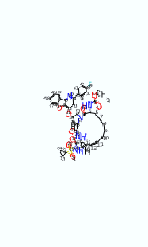 COC(=O)N[C@H]1CCCCC/C=C\[C@@H]2C[C@@]2(C(=O)NS(=O)(=O)C2CC2)NC(=O)[C@@H]2C[C@@H](Oc3cc(-c4ccc(F)cc4)nc4c3oc3ccccc34)CN2C1=O